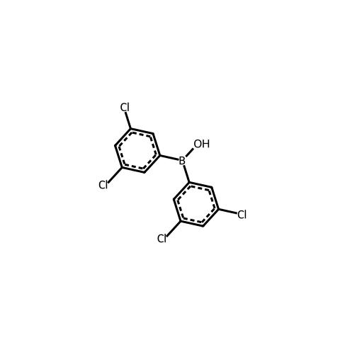 OB(c1cc(Cl)cc(Cl)c1)c1cc(Cl)cc(Cl)c1